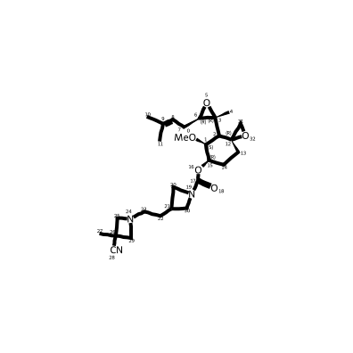 CO[C@H]1C([C@@]2(C)O[C@@H]2CC=C(C)C)[C@]2(CC[C@H]1OC(=O)N1CC(CCN3CC(C)(C#N)C3)C1)CO2